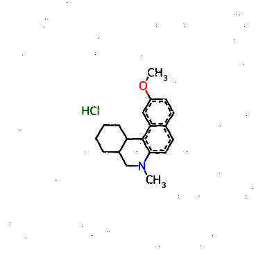 COc1ccc2ccc3c(c2c1)C1CCCCC1CN3C.Cl